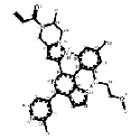 C=CC(=O)N1Cc2cc(-c3nc(-c4cnnc(C)c4)c4ccsc4c3-c3c(F)cc(F)cc3OCCOC)nn2CC1C